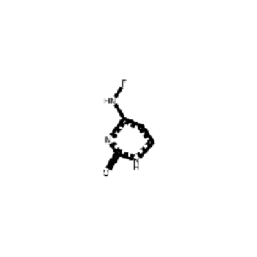 O=c1nc(NF)cc[nH]1